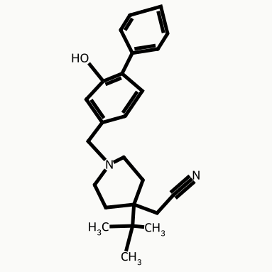 CC(C)(C)C1(CC#N)CCN(Cc2ccc(-c3ccccc3)c(O)c2)CC1